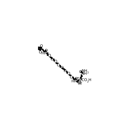 CC(C)C(NC(=O)CCOCCOCCOCCOCCOCCOCCOCCOCCNC(=O)CCN1C(=O)C=CC1=O)C(=O)N[C@@H](CCCNC(N)=O)C(=O)O